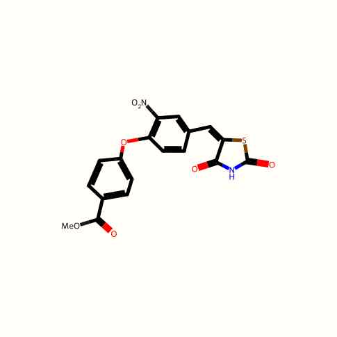 COC(=O)c1ccc(Oc2ccc(C=C3SC(=O)NC3=O)cc2[N+](=O)[O-])cc1